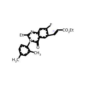 CCOC(=O)/C=C/c1cc2c(=O)n(-c3ccc(C)cc3C)c(CC)nc2cc1F